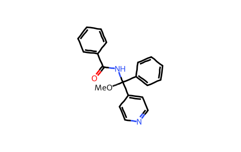 COC(NC(=O)c1ccccc1)(c1ccccc1)c1ccncc1